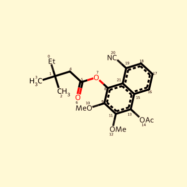 CCC(C)(C)CC(=O)Oc1c(OC)c(OC)c(OC(C)=O)c2cccc(C#N)c12